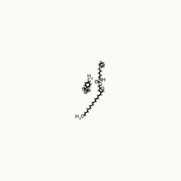 CCCCCCCCCCCCCCC1COC(COC(=O)NCCCCC[n+]2ccsc2)C1.Cc1ccc(S(=O)(=O)[O-])cc1